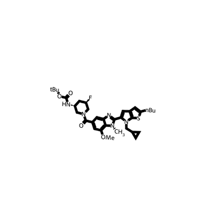 CCCCc1cc2cc(-c3nc4cc(C(=O)N5C[C@H](F)C[C@@H](NC(=O)OC(C)(C)C)C5)cc(OC)c4n3C)n(CC3CC3)c2s1